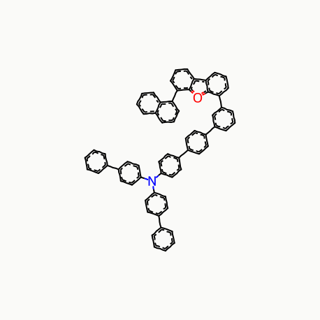 c1ccc(-c2ccc(N(c3ccc(-c4ccccc4)cc3)c3ccc(-c4ccc(-c5cccc(-c6cccc7c6oc6c(-c8cccc9ccccc89)cccc67)c5)cc4)cc3)cc2)cc1